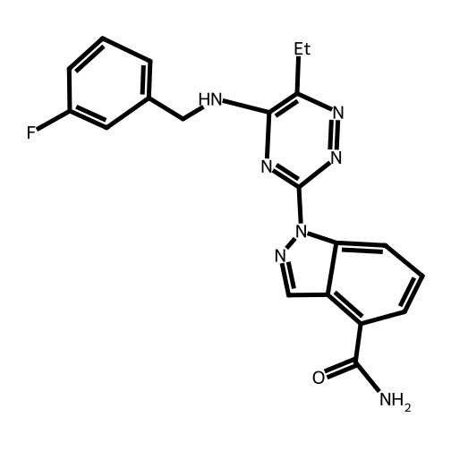 CCc1nnc(-n2ncc3c(C(N)=O)cccc32)nc1NCc1cccc(F)c1